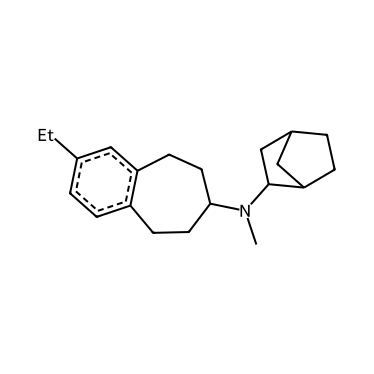 CCc1ccc2c(c1)CCC(N(C)C1CC3CCC1C3)CC2